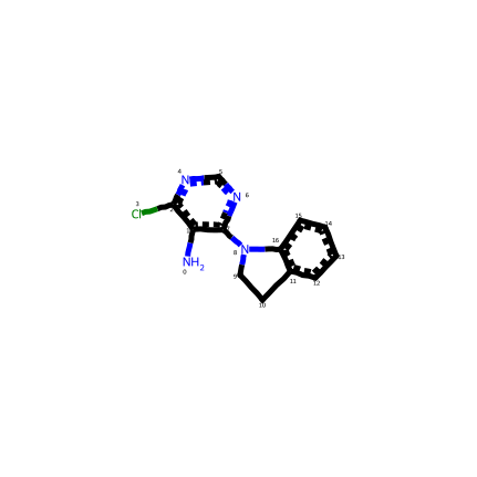 Nc1c(Cl)ncnc1N1CCc2ccccc21